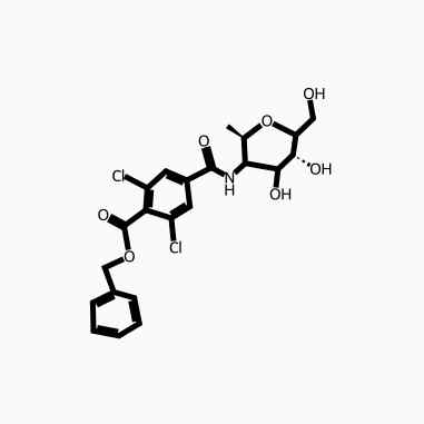 C[C@H]1OC(CO)[C@H](O)C(O)C1NC(=O)c1cc(Cl)c(C(=O)OCc2ccccc2)c(Cl)c1